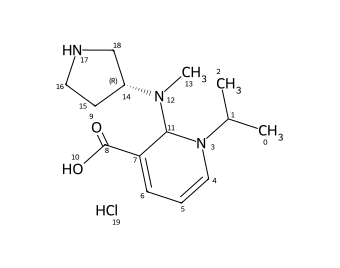 CC(C)N1C=CC=C(C(=O)O)C1N(C)[C@@H]1CCNC1.Cl